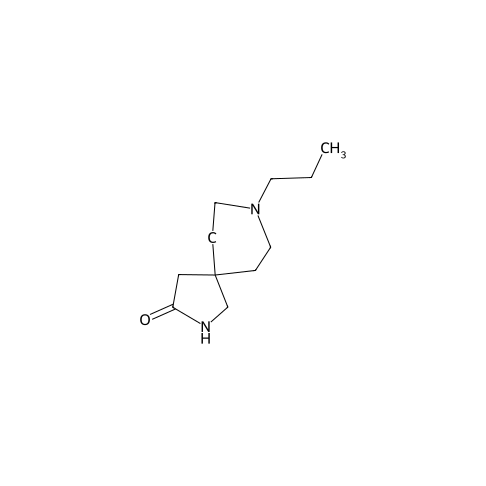 CCCN1CCC2(CC1)CNC(=O)C2